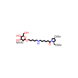 COC[C@@H]1C[C@@H](OC)CN1C(=O)CCCCCNCCCCCOC1OC(CO)C(O)C(O)C1NC(C)=O